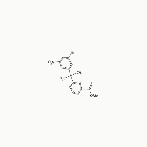 COC(=O)c1cccc(C(C)(C)c2cc(Br)cc([N+](=O)[O-])c2)c1